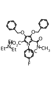 CCN(CC)CC.CN(C)C(=O)c1c(OCc2ccccc2)c(OCc2ccccc2)c(C(=O)O)n1-c1ccc(F)cc1